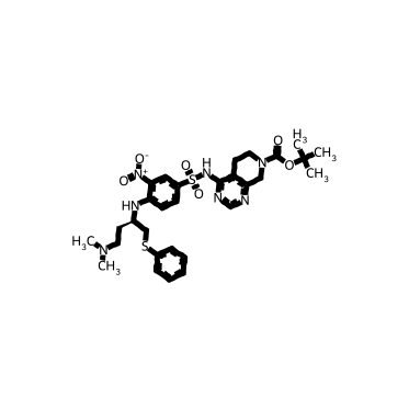 CN(C)CC[C@H](CSc1ccccc1)Nc1ccc(S(=O)(=O)Nc2ncnc3c2CCN(C(=O)OC(C)(C)C)C3)cc1[N+](=O)[O-]